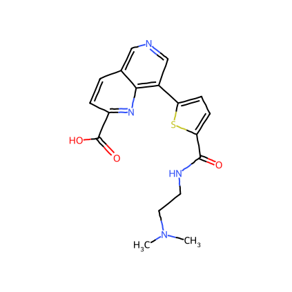 CN(C)CCNC(=O)c1ccc(-c2cncc3ccc(C(=O)O)nc23)s1